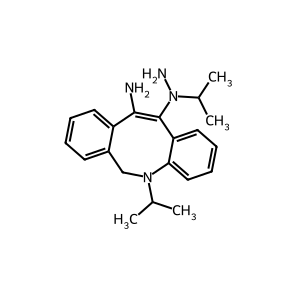 CC(C)N(N)/C1=C(\N)c2ccccc2CN(C(C)C)c2ccccc21